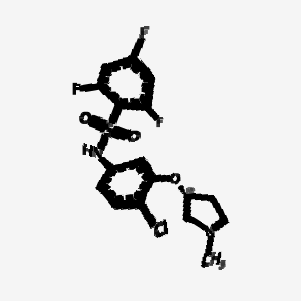 CN1CC[C@@H](Oc2cc(NS(=O)(=O)c3c(F)cc(F)cc3F)ccc2Cl)C1